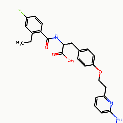 CCc1cc(F)ccc1C(=O)N[C@@H](Cc1ccc(OCCc2cccc(NC)n2)cc1)C(=O)O